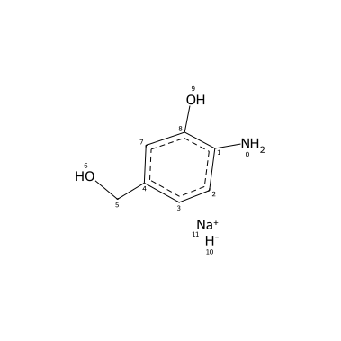 Nc1ccc(CO)cc1O.[H-].[Na+]